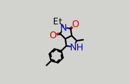 CCN1C(=O)C2C(C)NC(c3ccc(C)cc3)C2C1=O